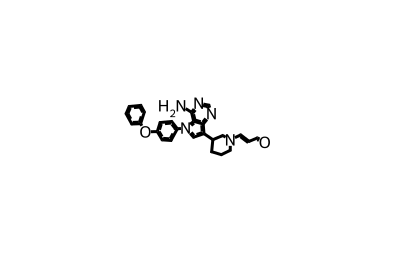 Nc1ncnc2c(C3CCCN(C=CC=O)C3)cn(-c3ccc(Oc4ccccc4)cc3)c12